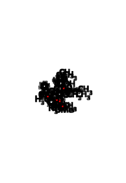 COC(=O)/C(C)=C\CC1(O)C(=O)CCC(C(C)C)C12Oc1c(CC=C(C)C)c3c(c(O[C@@H]4O[C@@H]5COC(C)(C)O[C@H]5[C@H](O)[C@H]4O)c1C1=C2C(C)C2=C(O1)c1ccccc1C2=O)C=CC(C)(CCC=C(C)C)O3